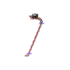 CC(C)(C)OC(=O)NCCOCCOCCOCCOCCOCCOCCOCCOCCOCCOCCOCCOCCC(=O)Nc1ccc(Oc2ccc([C@@H]3O[C@@H]4C[C@H]5[C@@H]6C[C@H](F)C7=CC(=O)C=C[C@]7(C)[C@@]6(F)[C@@H](O)C[C@]5(C)[C@]4(C(=O)CO[Si](C)(C)C(C)(C)C)O3)cc2)cc1